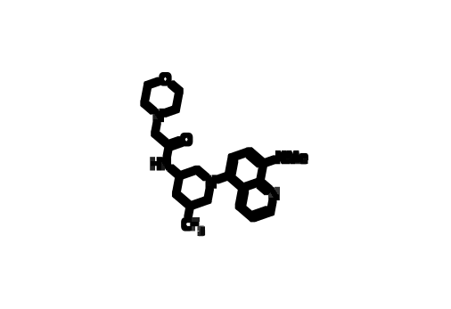 CNc1ccc(N2CC(NC(=O)CN3CCOCC3)CC(C(F)(F)F)C2)c2cccnc12